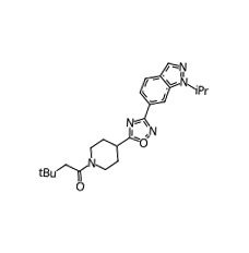 CC(C)n1ncc2ccc(-c3noc(C4CCN(C(=O)CC(C)(C)C)CC4)n3)cc21